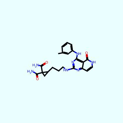 Cc1cccc(Nc2nc(NCCCC3CC3(C(N)=O)C(N)=O)nc3cc[nH]c(=O)c23)c1